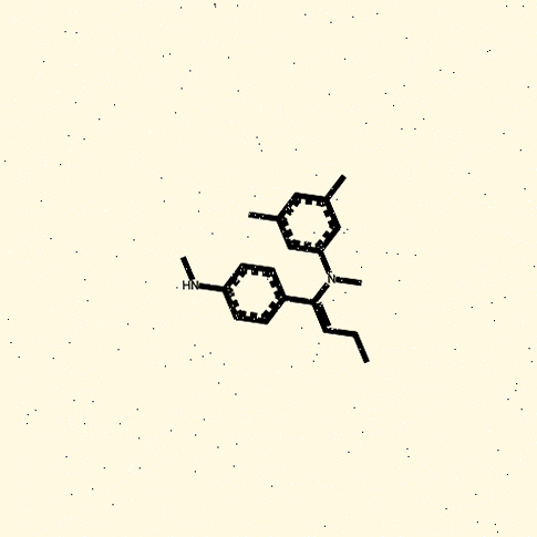 CC/C=C(/c1ccc(NC)cc1)N(C)c1cc(C)cc(C)c1